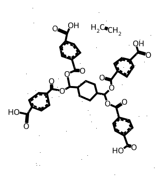 C=C.O=C(O)c1ccc(C(=O)OC(OC(=O)c2ccc(C(=O)O)cc2)C2CCC(C(OC(=O)c3ccc(C(=O)O)cc3)OC(=O)c3ccc(C(=O)O)cc3)CC2)cc1